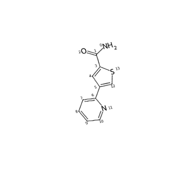 NC(=O)c1cc(-c2ccccn2)cs1